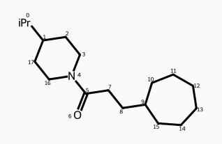 CC(C)C1CCN(C(=O)CCC2CCCCCC2)CC1